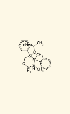 CCCCCCC(C)O[Si]1(c2ccccc2)CO[SiH2][SiH](C)[Si]1(C)c1ccccc1